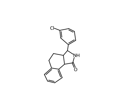 O=C1NC(c2cccc(Cl)c2)C2CCc3ccccc3C12